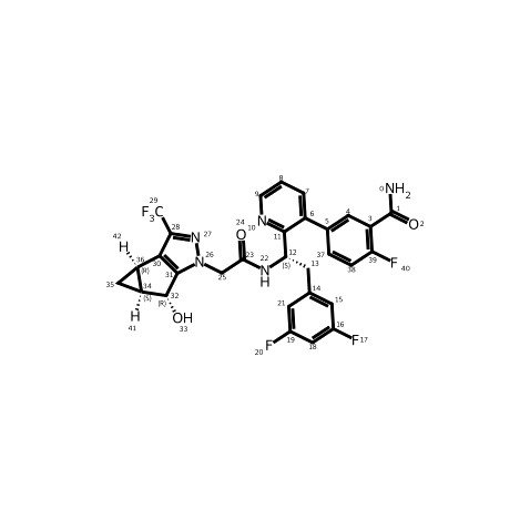 NC(=O)c1cc(-c2cccnc2[C@H](Cc2cc(F)cc(F)c2)NC(=O)Cn2nc(C(F)(F)F)c3c2[C@H](O)[C@H]2C[C@@H]32)ccc1F